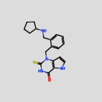 O=c1[nH]c(=S)n(Cc2ccccc2CNC2CCCC2)c2cc[nH]c12